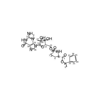 C[C@@H](OC(=O)[C@@H]1CS[P@](=O)(OCC2O[C@@H](n3cnc4c(=O)[nH]c(N)nc43)[C@](C)(O)[C@@H]2O)N1)c1ccccc1